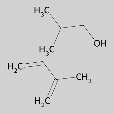 C=CC(=C)C.CC(C)CO